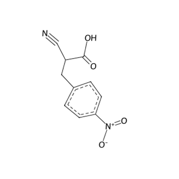 N#CC(Cc1ccc([N+](=O)[O-])cc1)C(=O)O